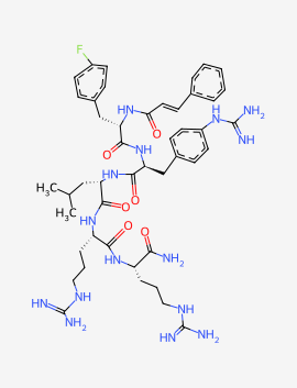 CC(C)C[C@H](NC(=O)[C@H](Cc1ccc(NC(=N)N)cc1)NC(=O)[C@H](Cc1ccc(F)cc1)NC(=O)/C=C/c1ccccc1)C(=O)N[C@@H](CCCNC(=N)N)C(=O)N[C@@H](CCCNC(=N)N)C(N)=O